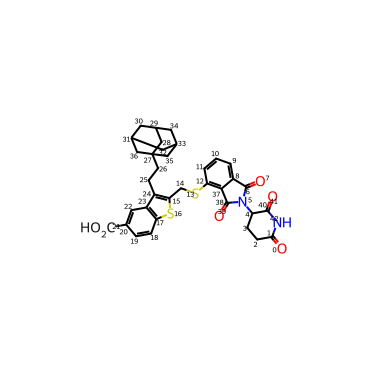 O=C1CCC(N2C(=O)c3cccc(SCc4sc5ccc(C(=O)O)cc5c4CCC45CC6CC(CC(C6)C4)C5)c3C2=O)C(=O)N1